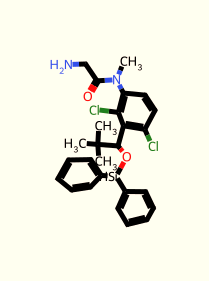 CN(C(=O)CN)c1ccc(Cl)c(C(O[SiH](c2ccccc2)c2ccccc2)C(C)(C)C)c1Cl